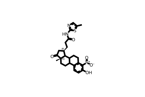 Cc1cnc(NC(=O)CC[C@@H]2CC(=O)[C@@]3(C)CCC4c5ccc(O)c([N+](=O)[O-])c5CCC4C23)s1